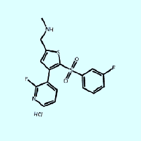 CNCc1cc(-c2cccnc2F)c(S(=O)(=O)c2cccc(F)c2)s1.Cl